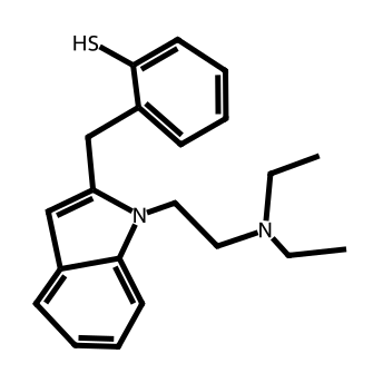 CCN(CC)CCn1c(Cc2ccccc2S)cc2ccccc21